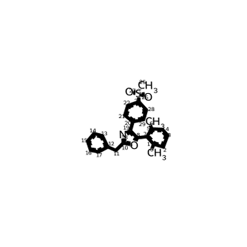 Cc1cccc(C)c1-c1oc(Cc2ccccc2)nc1-c1ccc(S(C)(=O)=O)cc1